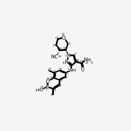 CC1=Cc2cc(Nc3nn([C@@H]4COCC[C@H]4C#N)cc3C(N)=O)cc(C)c2OB1O